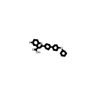 O=C(O)c1cc(-c2ccc(-c3ccc(Oc4ccccc4)cc3)cc2)nc2ccc(F)cc12